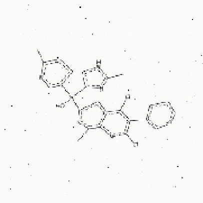 Cc1ccc(C(O)(c2cc(C)c3nc(Cl)c(-c4ccccc4)c(Cl)c3c2)c2c[nH]c(C)n2)cn1